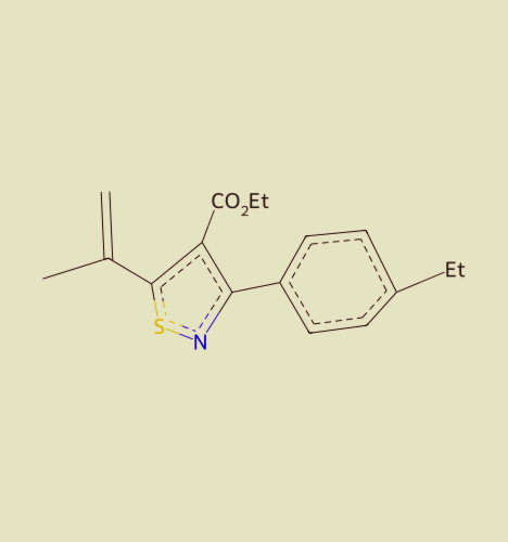 C=C(C)c1snc(-c2ccc(CC)cc2)c1C(=O)OCC